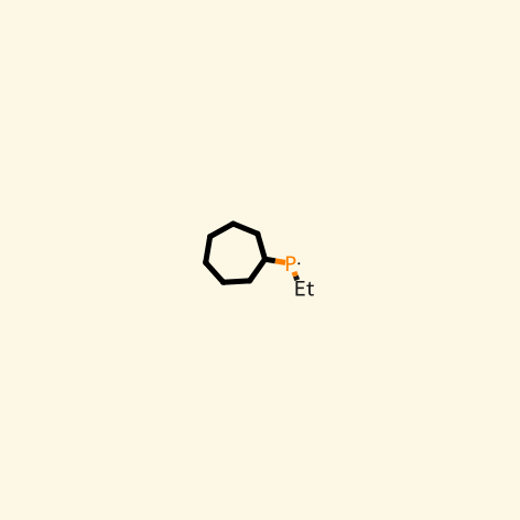 CC[P]C1CCCCCC1